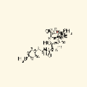 Bc1ccc(CCNC(=O)c2ccc3c(c2O)[C@]24CCN(C)[C@H](C3)[C@]2(O)CCC(=O)C4)cc1